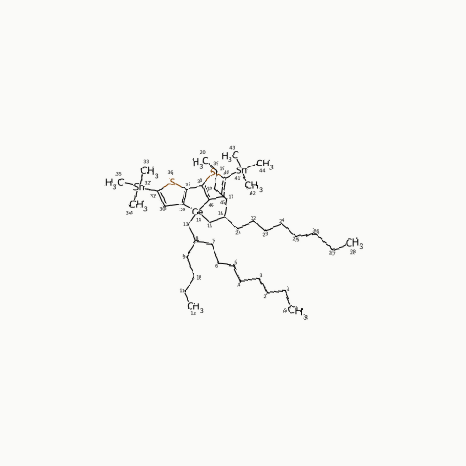 CCCCCCCCC(CCCC)[CH2][Ge]1([CH2]C(CCCC)CCCCCCCC)[c]2c[c]([Sn]([CH3])([CH3])[CH3])sc2-c2s[c]([Sn]([CH3])([CH3])[CH3])c[c]21